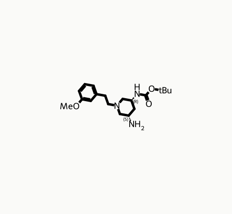 COc1cccc(CCN2C[C@@H](N)C[C@@H](NC(=O)OC(C)(C)C)C2)c1